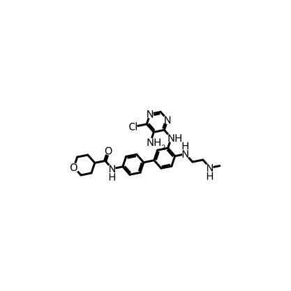 CNCCNc1ccc(-c2ccc(NC(=O)C3CCOCC3)cc2)cc1Nc1ncnc(Cl)c1N